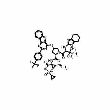 C=C[C@@H]1C[C@]1(NC(=O)[C@@H]1C[C@@H](Oc2nc(-c3ccc(C(F)(F)F)cc3)nc3c2oc2ccccc23)CN1C(=O)[C@@H](Nc1nc2c(s1)CCCC2)C(C)(C)C)C(=O)NS(=O)(=O)C1CC1